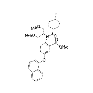 COCC(COC)N(c1ccc(Oc2cccc3ccccc23)cc1C(=O)OC)C(=O)[C@H]1CC[C@H](C)CC1